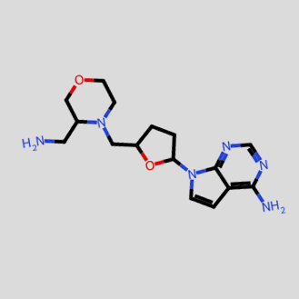 NCC1COCCN1CC1CCC(n2ccc3c(N)ncnc32)O1